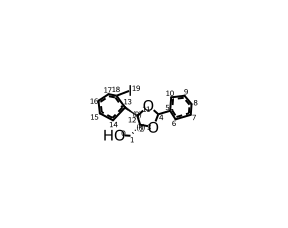 OC[C@H]1OC(c2ccccc2)O[C@@H]1c1ccccc1I